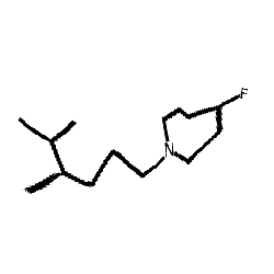 CC(C)[C@H](C)CCCN1CCC(F)CC1